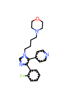 Fc1ccccc1-c1ncn(CCCCN2CCOCC2)c1-c1ccncc1